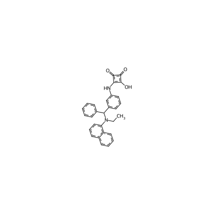 CCN(c1cccc2ccccc12)C(c1ccccc1)c1cccc(Nc2c(O)c(=O)c2=O)c1